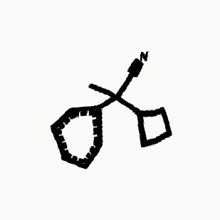 CC(C#N)(c1ccccc1)C1CCC1